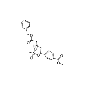 COC(=O)c1ccc(C(CNCC(=O)OCc2ccccc2)OS(C)(=O)=O)cc1